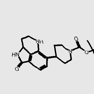 CC(C)(C)OC(=O)N1CCC(c2ccc3c4c2NCCC4NC3=O)CC1